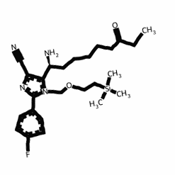 CCC(=O)CCCCC[C@H](N)c1c(C#N)nc(-c2ccc(F)cc2)n1COCC[Si](C)(C)C